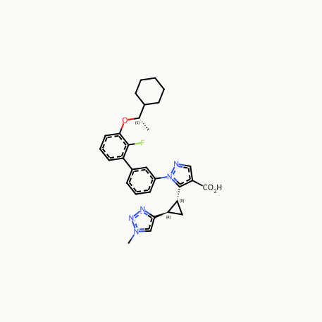 C[C@H](Oc1cccc(-c2cccc(-n3ncc(C(=O)O)c3[C@@H]3C[C@H]3c3cn(C)nn3)c2)c1F)C1CCCCC1